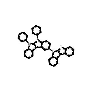 c1ccc(-n2c3ccccc3c3c4cc(-n5c6ccccc6c6c7ccccc7oc65)ccc4n(-c4ccccc4)c32)cc1